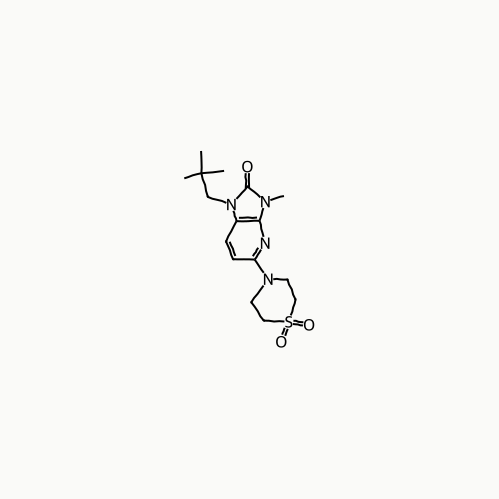 Cn1c(=O)n(CC(C)(C)C)c2ccc(N3CCS(=O)(=O)CC3)nc21